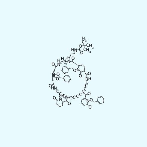 Cn1c(C(=O)N2CCCCN(C(=O)c3cccc(=O)n3OCc3ccccc3)CCCNC(=O)c3ccc(n(OCc4ccccc4)c3=O)C(=O)N[C@@H](CCCCNC(=O)OC(C)(C)C)CNC(=O)c3ccc(c(=O)n3OCc3ccccc3)C(=O)NCCC2)cccc1=O